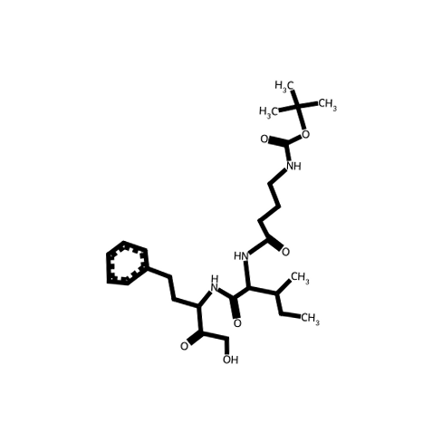 CCC(C)C(NC(=O)CCCNC(=O)OC(C)(C)C)C(=O)NC(CCc1ccccc1)C(=O)CO